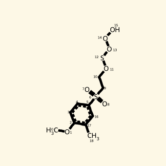 COc1ccc(S(=O)(=O)CCOSOOO)cc1C